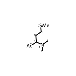 CSCCC(C(C)=O)N(C)C